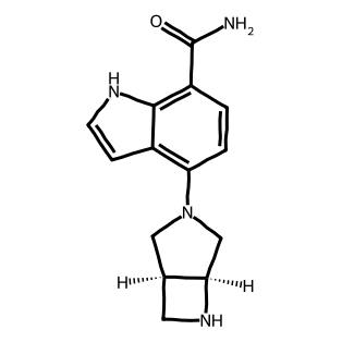 NC(=O)c1ccc(N2C[C@@H]3CN[C@@H]3C2)c2cc[nH]c12